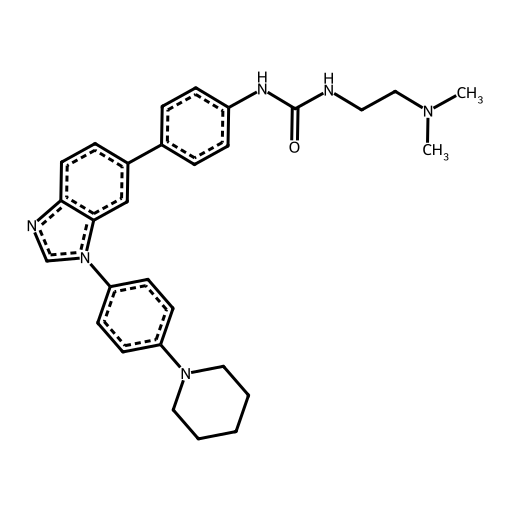 CN(C)CCNC(=O)Nc1ccc(-c2ccc3ncn(-c4ccc(N5CCCCC5)cc4)c3c2)cc1